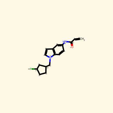 C=CC(=O)Nc1ccc2c(ccn2CC2CCC(F)C2)c1